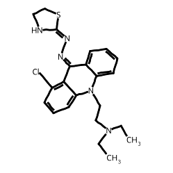 CCN(CC)CCn1c2ccccc2c(=NN=C2NCCS2)c2c(Cl)cccc21